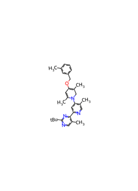 CC1=CC(OCc2cccc(C)c2)=C(C)CN1c1cc(-c2nc(C(C)(C)C)ncc2C)ncc1C